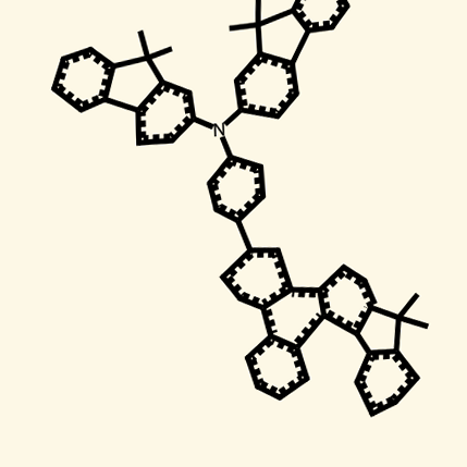 CC1(C)c2ccccc2-c2ccc(N(c3ccc(-c4ccc5c6ccccc6c6c7c(ccc6c5c4)C(C)(C)c4ccccc4-7)cc3)c3ccc4c(c3)C(C)(C)c3ccccc3-4)cc21